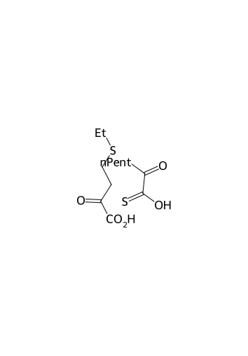 CCCCCC(=O)C(O)=S.CCSCCC(=O)C(=O)O